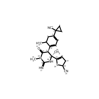 CC1CC(C2(C#N)CC2)=CC=C1[C@@H]1C(=O)N(C)C(=N)N[C@]1(C)C1=CCC(C#N)S1